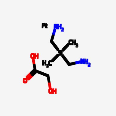 C[Si](C)(CN)CN.O=C(O)CO.[Pt]